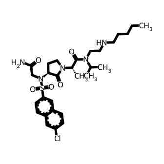 CCCCCNCCN(C(=O)[C@H](C)N1CC[C@H](N(CC(N)=O)S(=O)(=O)c2ccc3cc(Cl)ccc3c2)C1=O)C(C)C